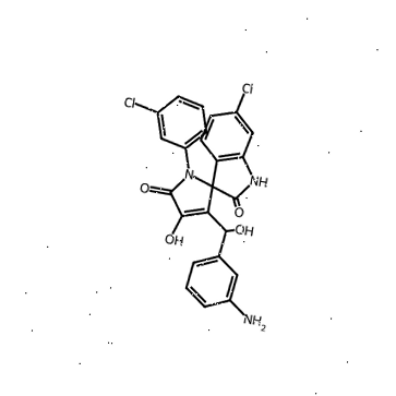 Nc1cccc(C(O)C2=C(O)C(=O)N(c3cccc(Cl)c3)C23C(=O)Nc2cc(Cl)ccc23)c1